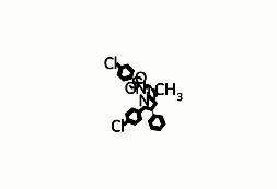 CN(C=NS(=O)(=O)c1ccc(Cl)cc1)N1C[C@H](c2ccccc2)C(c2ccc(Cl)cc2)=N1